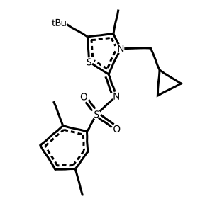 Cc1ccc(C)c(S(=O)(=O)/N=c2\sc(C(C)(C)C)c(C)n2CC2CC2)c1